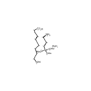 CCCCCCCCCCCCCCCCCC(=O)O.CO[Si](CCCN)(OC)OC.[MgH2]